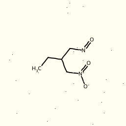 CCC(CN=O)C[N+](=O)[O-]